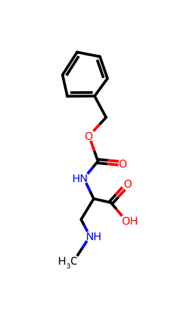 CNCC(NC(=O)OCc1ccccc1)C(=O)O